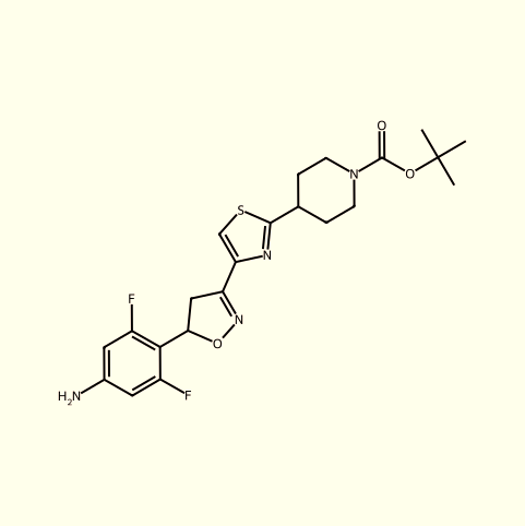 CC(C)(C)OC(=O)N1CCC(c2nc(C3=NOC(c4c(F)cc(N)cc4F)C3)cs2)CC1